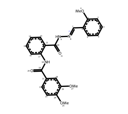 COc1ccccc1/C=N/NC(=O)c1ccccc1NC(=O)c1ccc(OC)c(OC)c1